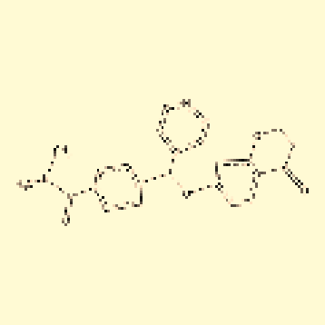 CN(C)C(=O)c1ccc([C@@H](Oc2ccc3c(c2)OCCC3=O)c2ccncc2)cc1